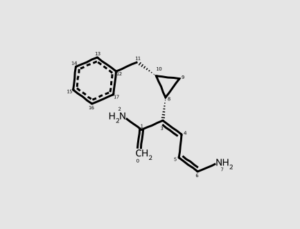 C=C(N)/C(=C\C=C/N)[C@H]1C[C@H]1Cc1ccccc1